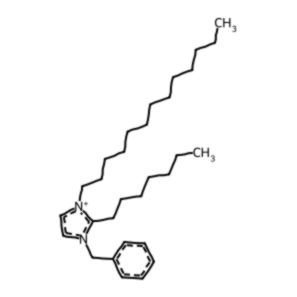 CCCCCCCCCCCCC[n+]1ccn(Cc2ccccc2)c1CCCCCCC